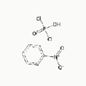 O=P(O)(Cl)Cl.O=[N+]([O-])c1ccccc1